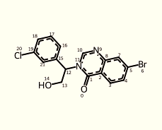 O=c1c2ccc(Br)cc2ncn1C(CO)c1cccc(Cl)c1